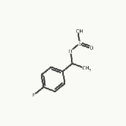 CC(OS(=O)O)c1ccc(F)cc1